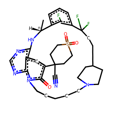 C[C@H]1Nc2ncnc3c2cc(C2(C#N)CCS(=O)(=O)CC2)c(=O)n3CCCCCN2CCC(CC2)CCC(F)(F)c2cccc1c2F